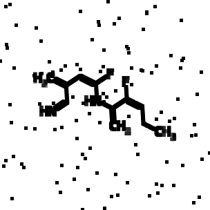 C=C(C=N)/C=C(/F)NC(=C)/C(F)=C\CC